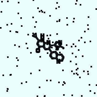 Cc1ncc(-c2nc3[nH]c(C4CC4)cc(=O)c3cc2-c2ccc3ncccc3c2)s1